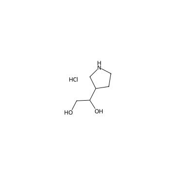 Cl.OCC(O)C1CCNC1